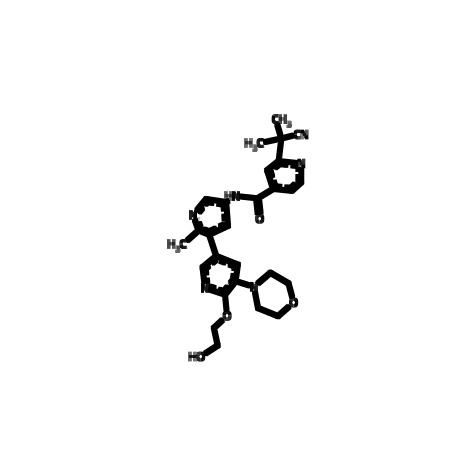 Cc1ncc(NC(=O)c2ccnc(C(C)(C)C#N)c2)cc1-c1cnc(OCCO)c(N2CCOCC2)c1